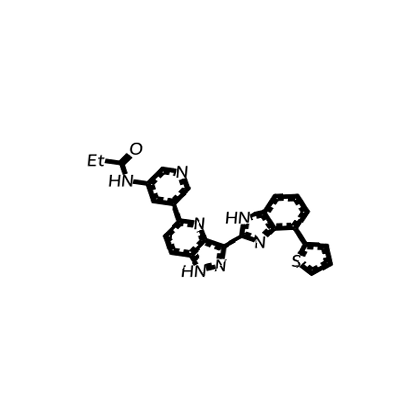 CCC(=O)Nc1cncc(-c2ccc3[nH]nc(-c4nc5c(-c6cccs6)cccc5[nH]4)c3n2)c1